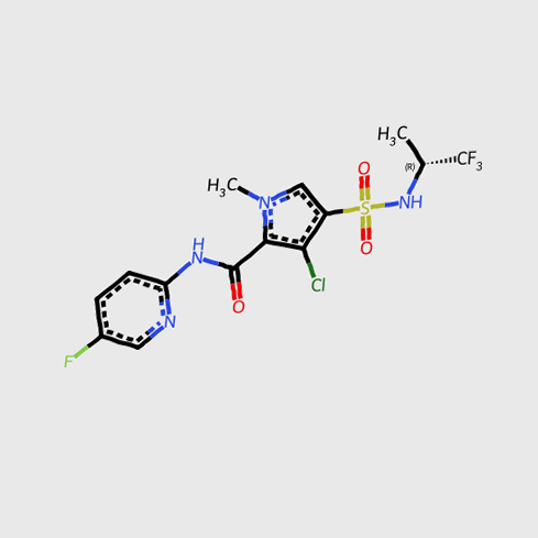 C[C@@H](NS(=O)(=O)c1cn(C)c(C(=O)Nc2ccc(F)cn2)c1Cl)C(F)(F)F